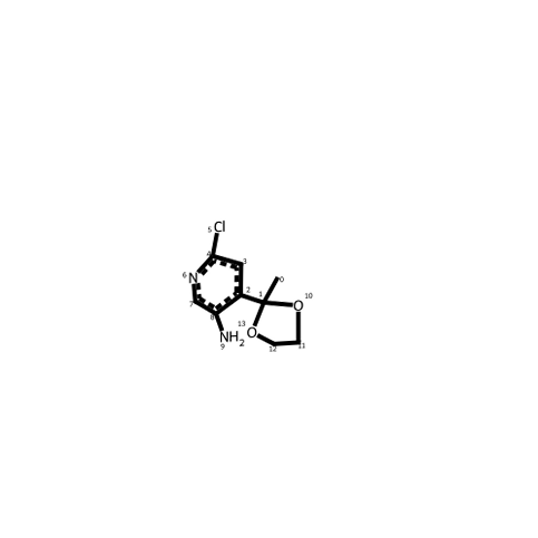 CC1(c2cc(Cl)ncc2N)OCCO1